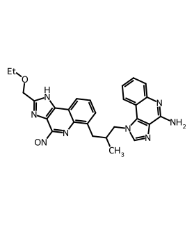 CCOCc1nc2c(N=O)nc3c(CC(C)Cn4cnc5c(N)nc6ccccc6c54)cccc3c2[nH]1